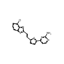 Nc1nccc(-c2ccc(/C=C/c3nc4c(Cl)cccc4s3)s2)n1